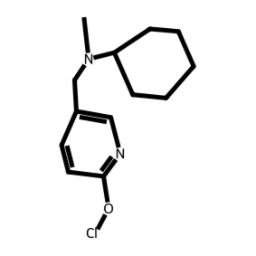 CN(Cc1ccc(OCl)nc1)C1CCCCC1